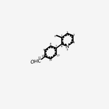 Cc1cccnc1-c1ccc(C=O)cc1